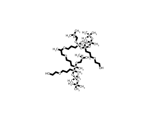 CC(COCCC[Si](C)(OC[SiH](C)C)[Si](C)(CCCOCCO)O[Si](C)(C)O[Si](C)(C)C)OCCC[Si](C)(OC[SiH](C)C)O[Si](C)(CCCOCCO)O[Si](C)(C)O[Si](C)(C)C